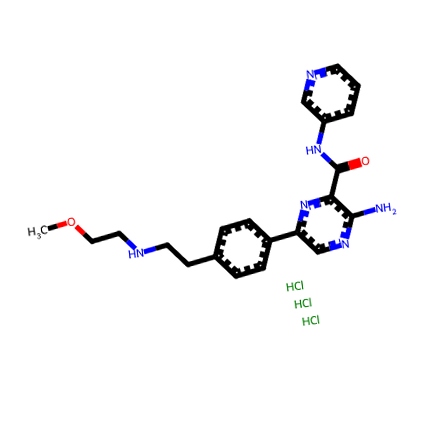 COCCNCCc1ccc(-c2cnc(N)c(C(=O)Nc3cccnc3)n2)cc1.Cl.Cl.Cl